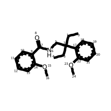 CCC(CC)(CNC(=O)c1ccccc1OC)c1ccccc1OC